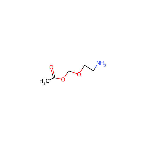 CC(=O)OCOCCN